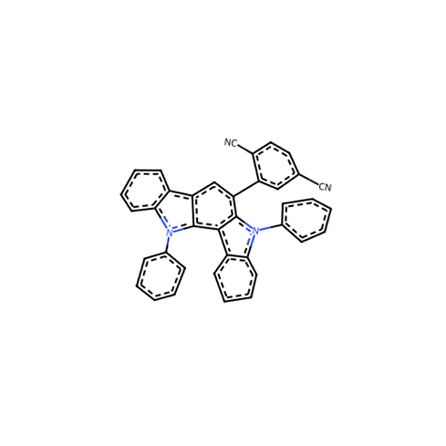 N#Cc1ccc(C#N)c(-c2cc3c4ccccc4n(-c4ccccc4)c3c3c4ccccc4n(-c4ccccc4)c23)c1